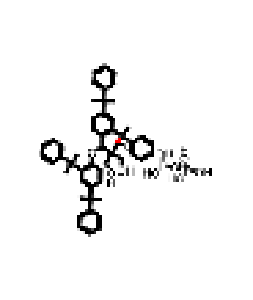 CC(C)(c1ccccc1)c1ccc(OC(c2ccc(C(C)(C)c3ccccc3)cc2C(C)(C)c2ccccc2)C(CO)(CO)CO)c(C(C)(C)c2ccccc2)c1.OP(O)O.OP(O)O